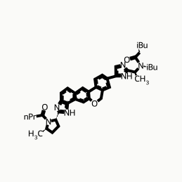 CCCC(=O)N1[C@@H](C)CC[C@H]1c1nc2ccc3cc4c(cc3c2[nH]1)OCc1cc(-c2cnc([C@H](C)N(C(=O)C[C@@H](C)CC)[C@@H](C)CC)[nH]2)ccc1-4